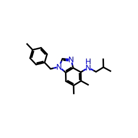 Cc1ccc(Cn2cnc3c(NCC(C)C)c(C)c(C)cc32)cc1